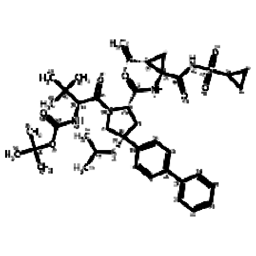 C=C[C@@H]1C[C@]1(NC(=O)[C@@H]1C[C@@](SC(C)C)(c2ccc(-c3ccccc3)cc2)CN1C(=O)[C@@H](NC(=O)OC(C)(C)C)C(C)(C)C)C(=O)NS(=O)(=O)C1CC1